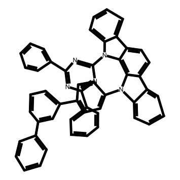 c1ccc(-c2cccc(-c3ccc(-n4c5ccccc5c5ccc6c7ccccc7n(-c7nc(-c8ccccc8)nc(-c8ccccc8)n7)c6c54)cc3)c2)cc1